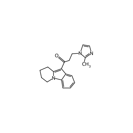 Cc1nccn1CCC(=O)c1c2n(c3ccccc13)CCCC2